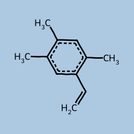 C=Cc1cc(C)c(C)cc1C